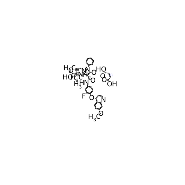 COc1ccc2c(Oc3ccc(NC(=O)c4c(C)n(C[C@@H](C)[C@](C)(N)C(=O)O)n(-c5ccccc5)c4=O)cc3F)ccnc2c1.O=C(O)/C=C\C(=O)O